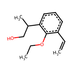 [CH2]C(CO)c1cccc(C=C)c1OCC